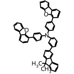 CC1(C)c2ccccc2-c2cc(-c3cccc(N(c4ccc(-c5cccc6c5oc5ccccc56)cc4)c4ccc(-c5cccc6c5oc5ccccc56)cc4)c3)ccc21